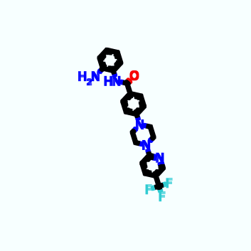 Nc1ccccc1NC(=O)c1ccc(N2CCN(c3ccc(C(F)(F)F)cn3)CC2)cc1